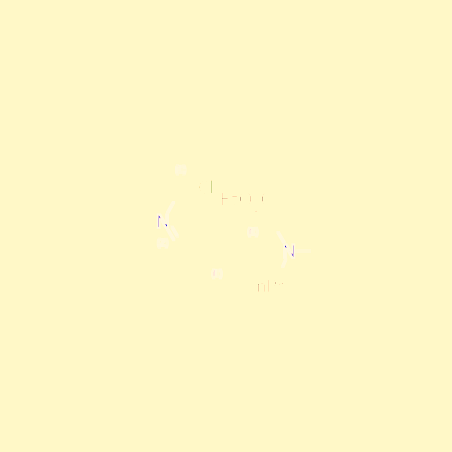 C\C=C(Cl)/N=C\C(=C\CCC)C(=C/N(C)C)\C(=O)OCC